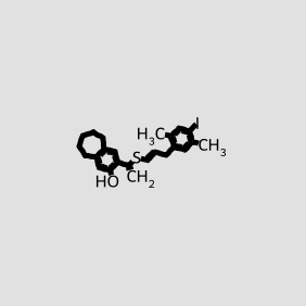 C=C(S/C=C/Cc1cc(C)c(I)cc1C)c1cc2c(cc1O)CCCCC2